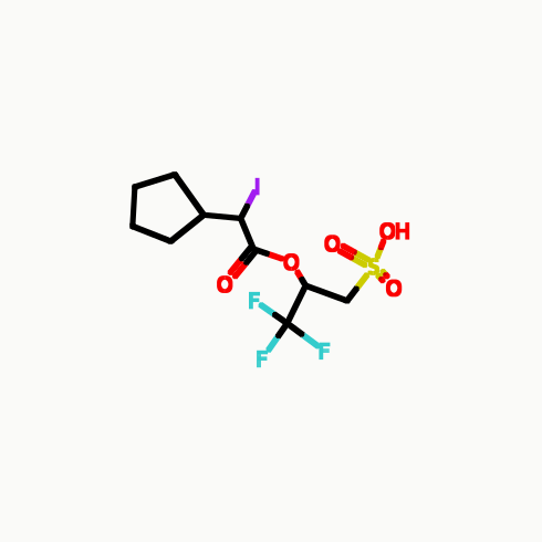 O=C(OC(CS(=O)(=O)O)C(F)(F)F)C(I)C1CCCC1